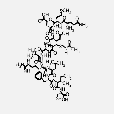 CC[C@H](C)[C@H](NC(=O)[C@H](Cc1ccccc1)NC(=O)[C@H](CC(C)C)NC(=O)[C@H](CCCNC(=N)N)NC(=O)[C@@H](NC(=O)[C@H](C)NC(=O)[C@H](CSCNC(C)=O)NC(=O)[C@H](CCC(=O)O)NC(=O)[C@H](CCC(=O)O)NC(=O)[C@H](CCSC)NC(=O)[C@@H](N)CCC(N)=O)C(C)C)C(=O)N[C@@H](CS)C(=O)O